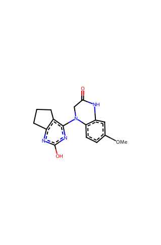 COc1ccc2c(c1)NC(=O)CN2c1nc(O)nc2c1CCC2